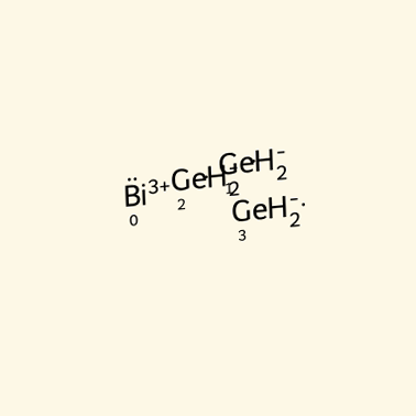 [Bi+3].[GeH2-].[GeH2-].[GeH2-]